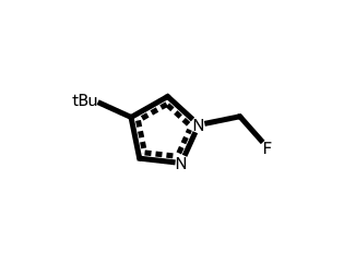 CC(C)(C)c1cnn(CF)c1